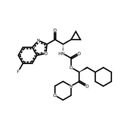 O=C(N[C@H](C(=O)c1nc2ccc(F)cc2o1)C1CC1)O[C@@H](CC1CCCCC1)C(=O)N1CCOCC1